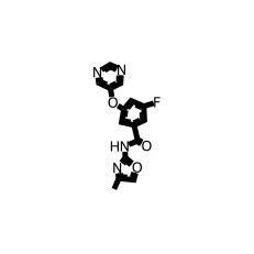 Cc1coc(NC(=O)c2cc(F)cc(Oc3cncnc3)c2)n1